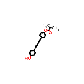 C=C(C)C(=O)Oc1ccc(C#CC#Cc2ccc(O)cc2)cc1